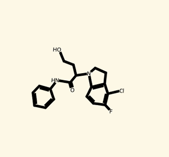 O=C(Nc1ccccc1)C(CCO)N1CCc2c1ccc(F)c2Cl